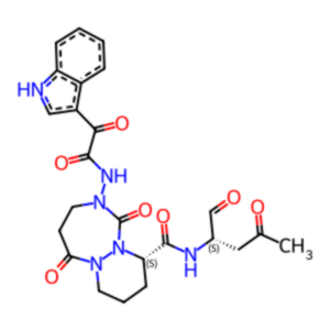 CC(=O)C[C@@H](C=O)NC(=O)[C@@H]1CCCN2C(=O)CCN(NC(=O)C(=O)c3c[nH]c4ccccc34)C(=O)N12